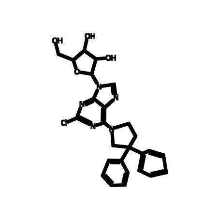 OCC1OC(n2cnc3c(N4CCC(c5ccccc5)(c5ccccc5)C4)nc(Cl)nc32)C(O)C1O